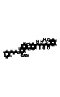 COc1cc2c(Oc3ccc(NC(=S)NC(=O)CC(=O)c4ccccc4C)cc3Cl)ccnc2cc1OCCCN1CCOCC1